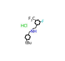 CC(C)(C)c1ccc(CNCCc2cc(F)cc(C(F)(F)F)c2)cc1.Cl